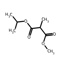 COC(=O)C(C)C(=O)OC(C)C